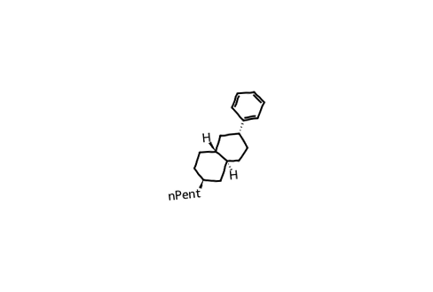 CCCCC[C@H]1CC[C@@H]2C[C@H](c3ccccc3)CC[C@H]2C1